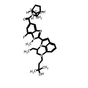 CCC1CN(CCC(C)(C)O)c2cccc3cc(-c4nc5cc(C(=O)N6C[C@H]7CC[C@@H]6[C@@H]7N)cc(F)c5n4C)n1c23